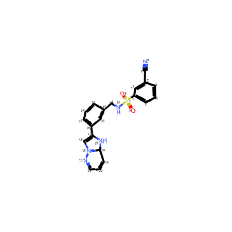 N#Cc1cccc(S(=O)(=O)NCc2cccc(C3=CN4N=CC=CC4N3)c2)c1